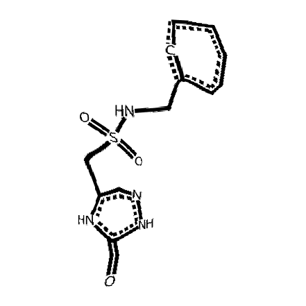 O=c1[nH]nc(CS(=O)(=O)NCc2ccccc2)[nH]1